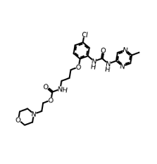 Cc1cnc(NC(=O)Nc2cc(Cl)ccc2OCCCNC(=O)OCCN2CCOCC2)cn1